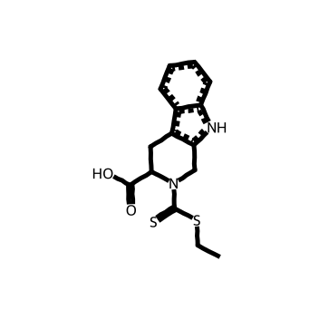 CCSC(=S)N1Cc2[nH]c3ccccc3c2CC1C(=O)O